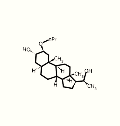 CCCO[C@H]1C[C@@]2(C)[C@@H](CC[C@@H]3[C@@H]2CC[C@]2(C)[C@@H]([C@H](C)O)CC[C@@H]32)C[C@@H]1O